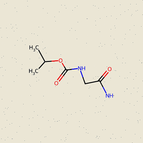 CC(C)OC(=O)NCC([NH])=O